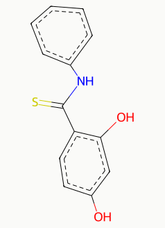 Oc1ccc(C(=S)Nc2ccccc2)c(O)c1